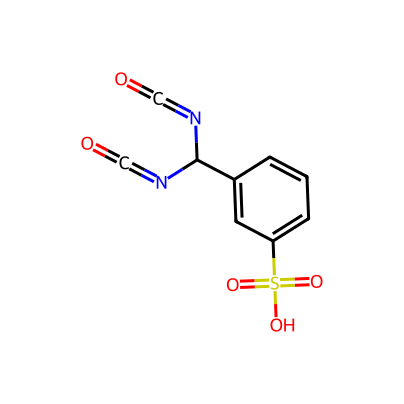 O=C=NC(N=C=O)c1cccc(S(=O)(=O)O)c1